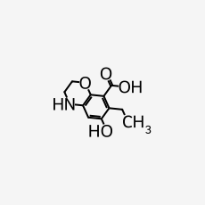 CCc1c(O)cc2c(c1C(=O)O)OCCN2